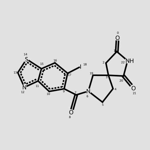 O=C1CC2(CCN(C(=O)c3cc4ncsc4cc3I)C2)C(=O)N1